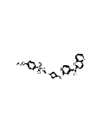 Cc1ccc(S(=O)(=O)OC[C@H]2C[C@H](Oc3cc(Nc4ccc5ncccc5n4)ccn3)C2)cc1